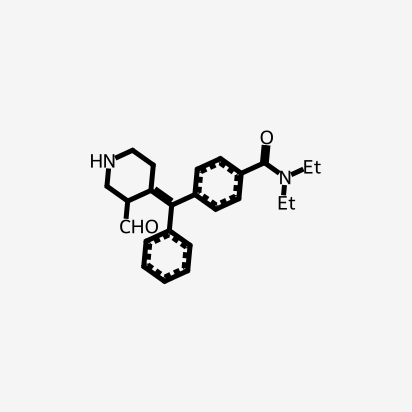 CCN(CC)C(=O)c1ccc(C(=C2CCNCC2C=O)c2ccccc2)cc1